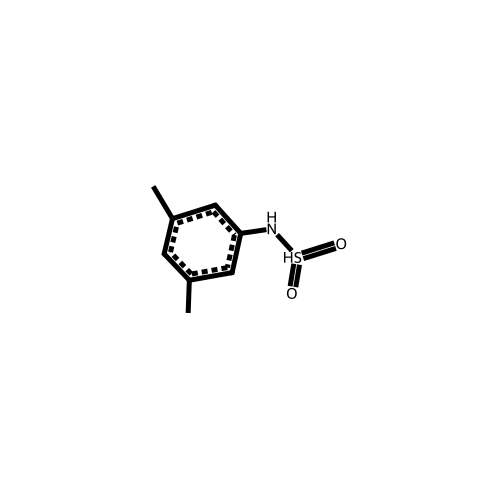 Cc1cc(C)cc(N[SH](=O)=O)c1